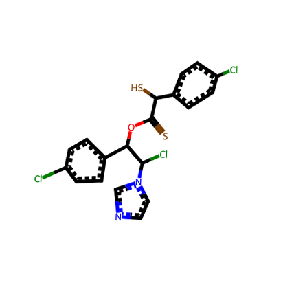 S=C(OC(c1ccc(Cl)cc1)C(Cl)n1ccnc1)C(S)c1ccc(Cl)cc1